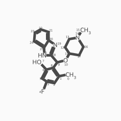 Cc1cc(F)cc(O)c1C(OC1CCN(C)CC1)c1nc2ccccc2[nH]1